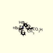 CCCCC(OC1CCCCO1)C(F)(F)/C=C/[C@H]1[C@H](O)CC(=O)[C@@H]1CC(C)CCCC(=O)O